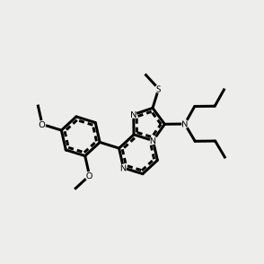 CCCN(CCC)c1c(SC)nc2c(-c3ccc(OC)cc3OC)nccn12